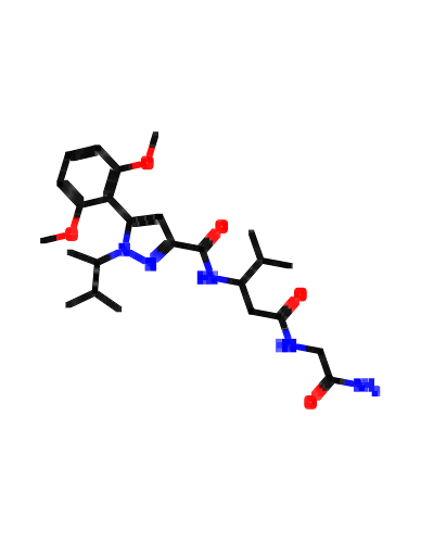 COc1cccc(OC)c1-c1cc(C(=O)NC(CC(=O)NCC(N)=O)C(C)C)nn1C(C)C(C)C